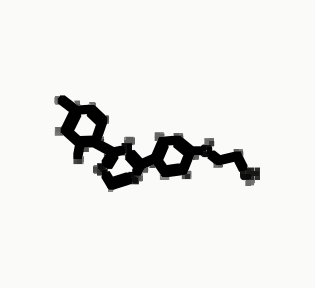 Cc1ccc(-c2ncnc(-c3ccc(OCCO)cc3)n2)c(C)c1